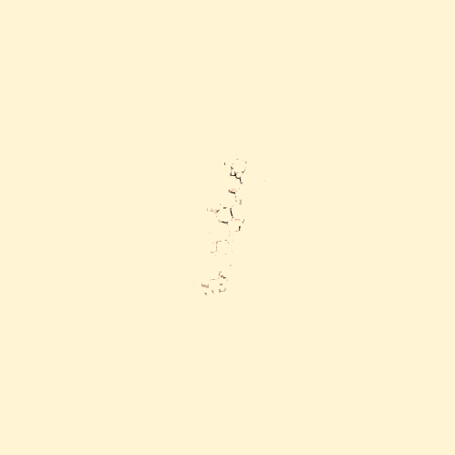 CC1(C)[C@@H]2CC[C@@]1(C)C(OC(=O)Nc1nc(Cl)nc3c1ncn3[C@@H]1O[C@H](COP(=O)(O)CP(=O)(O)O)C(O)[C@@H]1O)C2